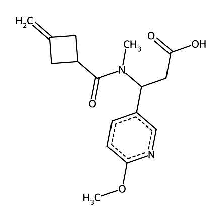 C=C1CC(C(=O)N(C)C(CC(=O)O)c2ccc(OC)nc2)C1